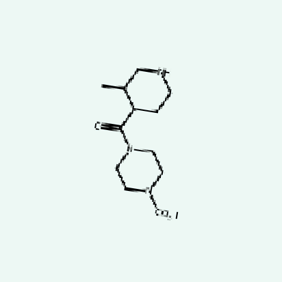 CC1CNCCC1C(=O)N1CCN(C(=O)O)CC1